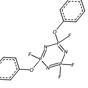 FP1(F)=NP(F)(Oc2ccccc2)=NP(F)(Oc2ccccc2)=N1